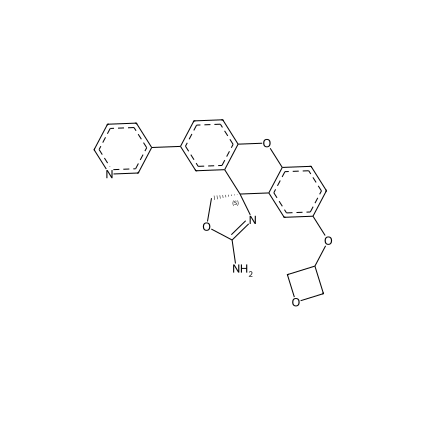 NC1=N[C@]2(CO1)c1cc(OC3COC3)ccc1Oc1ccc(-c3cccnc3)cc12